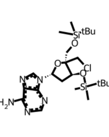 CC(C)(C)[Si](C)(C)OC[C@@]1(CCl)O[C@@H](n2cnc3c(N)ncnc32)C[C@@H]1O[Si](C)(C)C(C)(C)C